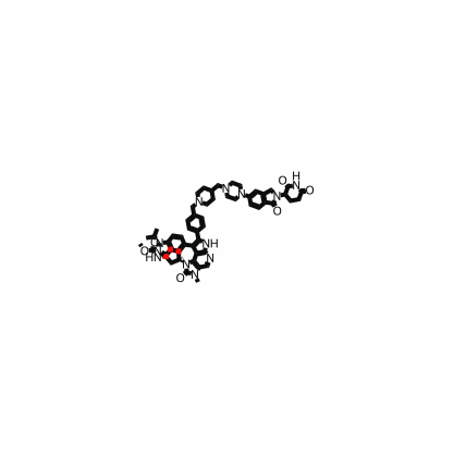 COC(=O)N[C@@H]1CC[C@@H](n2c(=O)n(C)c3cnc4[nH]c(-c5ccc(CN6CCC(CN7CCN(c8ccc9c(c8)CN(C8CCC(=O)NC8=O)C9=O)CC7)CC6)cc5)c(-c5ccc6c(cnn6C(C)C)c5)c4c32)C1